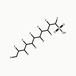 O=S(=O)(O)C(F)C(F)C(F)C(F)C(F)C(F)C(F)C(F)C(F)C(F)CF